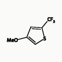 COc1csc(C(F)(F)F)c1